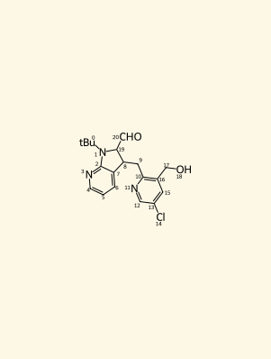 CC(C)(C)N1c2ncccc2C(Cc2ncc(Cl)cc2CO)C1C=O